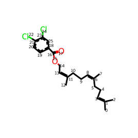 CC(C)=CCCC(C)=CCCC(C)=CCOC(=O)c1ccc(Cl)c(Cl)c1